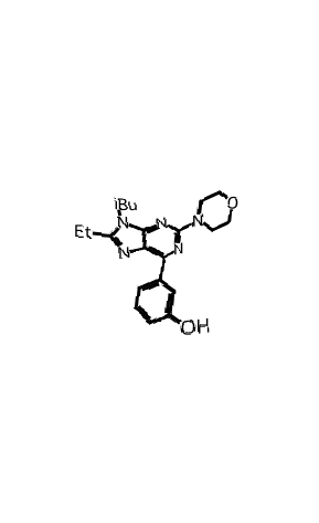 CCc1nc2c(-c3cccc(O)c3)nc(N3CCOCC3)nc2n1C(C)CC